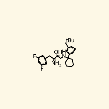 CC(C)(C)Cc1cccc(C2(NC[C@@H](O)[C@@H](N)Cc3cc(F)cc(F)c3)CCCCC2)c1